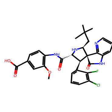 COc1cc(C(=O)O)ccc1NC(=O)[C@@H]1N[C@@H](CC(C)(C)C)[C@@]2(C(=O)Nc3cccnc32)[C@H]1c1cccc(Cl)c1F